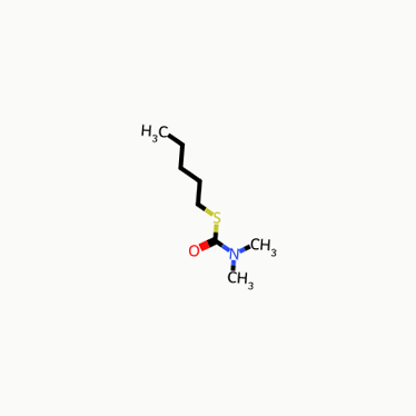 CCCCCSC(=O)N(C)C